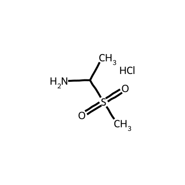 CC(N)S(C)(=O)=O.Cl